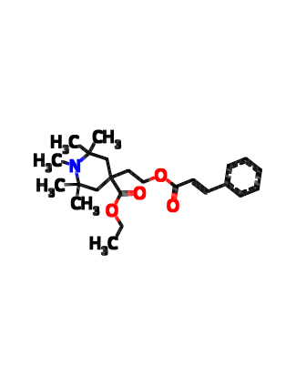 CCOC(=O)C1(CCOC(=O)C=Cc2ccccc2)CC(C)(C)N(C)C(C)(C)C1